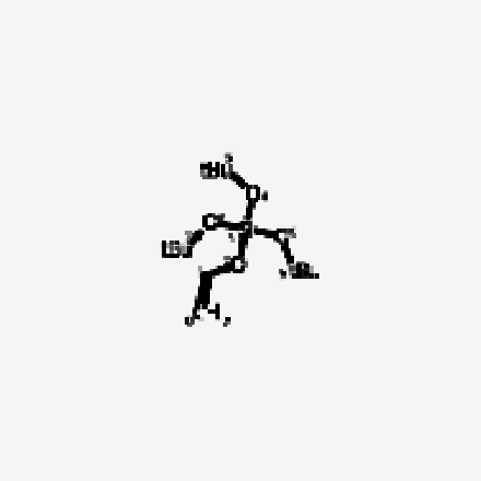 C=CO[Si](OC(C)(C)C)(OC(C)(C)C)OC(C)(C)C